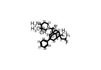 CC1(CC(F)F)C2CC3(C(=S)N4CC[C@H](N)C(C)(C)C4)CC1CC(c1ccccc1)(C2)C3